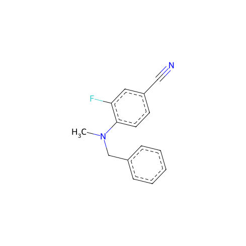 CN(Cc1ccccc1)c1ccc(C#N)cc1F